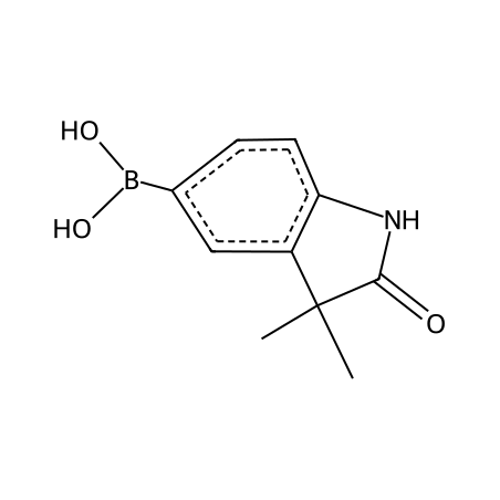 CC1(C)C(=O)Nc2ccc(B(O)O)cc21